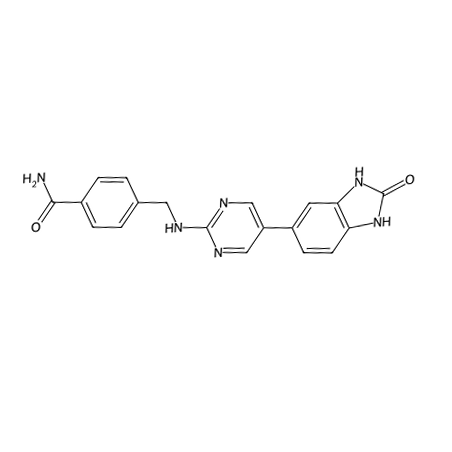 NC(=O)c1ccc(CNc2ncc(-c3ccc4[nH]c(=O)[nH]c4c3)cn2)cc1